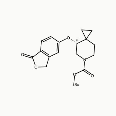 CC(C)(C)OC(=O)N1CCC2(CC2)[C@@H](Oc2ccc3c(c2)COC3=O)C1